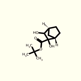 CC(C)(C)OC(=O)C1(O)C(O)[C@H]2CC[C@H]1C2